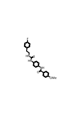 COc1ccc(C(=O)Nc2ccc(NC(=S)NCCc3ccc(F)cc3)cc2)cc1